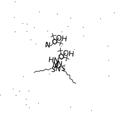 CCCCCCCCSc1nc(Nc2cc(C(C)(C)C)c(O)c(C(C)(C)C)c2)nc(SCCCCCCCC)n1.CN(C)Cc1cc(C(C)(C)C)c(O)c(C(C)(C)C)c1